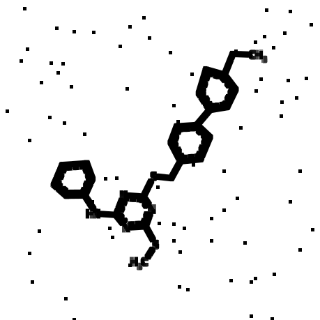 CCc1ccc(-c2ccc(CSc3nc(Nc4ccccc4)nc(SC)n3)cc2)cc1